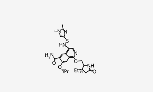 CC[C@@H]1CC(=O)NC1COc1ncc(NSc2cn(C)c(C)n2)c2cc(C(N)=O)c(OC(C)C)cc12